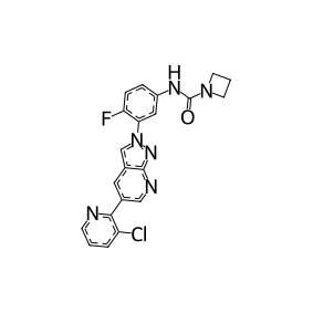 O=C(Nc1ccc(F)c(-n2cc3cc(-c4ncccc4Cl)cnc3n2)c1)N1CCC1